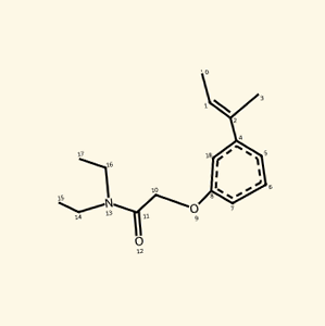 [CH2]C=C(C)c1cccc(OCC(=O)N(CC)CC)c1